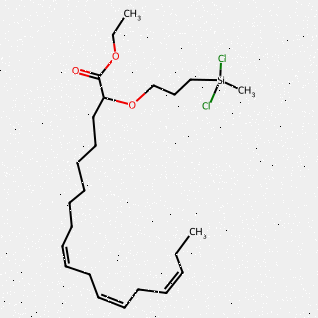 CC/C=C\C/C=C\C/C=C\CCCCCCC(OCCC[Si](C)(Cl)Cl)C(=O)OCC